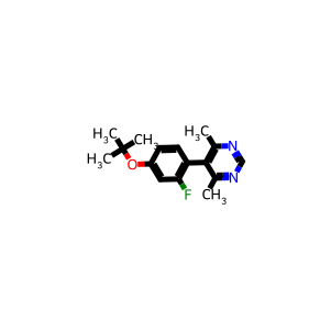 Cc1ncnc(C)c1-c1ccc(OC(C)(C)C)cc1F